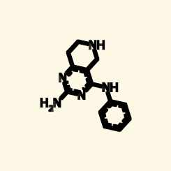 Nc1nc2c(c(Nc3ccccc3)n1)CNCC2